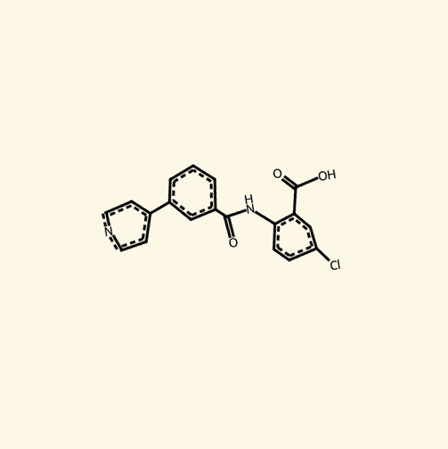 O=C(Nc1ccc(Cl)cc1C(=O)O)c1cccc(-c2ccncc2)c1